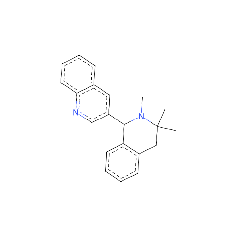 CN1C(c2cnc3ccccc3c2)c2ccccc2CC1(C)C